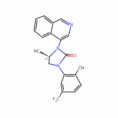 N#Cc1ccc(C(F)(F)F)cc1N1C[C@@H](C#N)N(c2cncc3ccccc23)C1=O